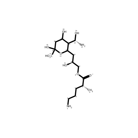 C[C@H](CCCN)C(=O)OC[C@@H](O)CC1OC(O)(C(=O)O)CC(O)C1[C@@H](N)O